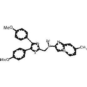 COc1ccc(-c2nc(CN(C(C)=O)c3cn4ccc(C)cc4n3)sc2-c2ccc(OC)cc2)cc1